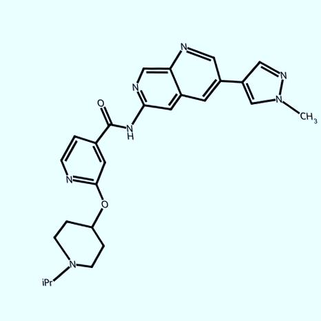 CC(C)N1CCC(Oc2cc(C(=O)Nc3cc4cc(-c5cnn(C)c5)cnc4cn3)ccn2)CC1